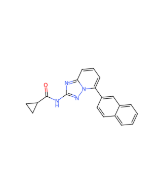 O=C(Nc1nc2cccc(-c3ccc4ccccc4c3)n2n1)C1CC1